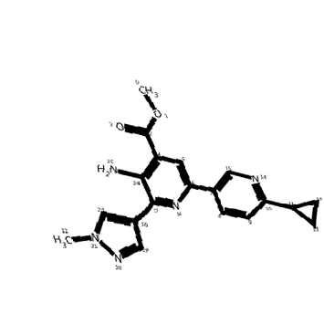 COC(=O)c1cc(-c2ccc(C3CC3)nc2)nc(-c2cnn(C)c2)c1N